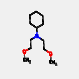 COCCN(CCOC)C1CCCCC1